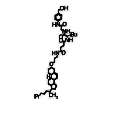 CC[C@H](C)[C@H](NC(=O)CCC(=O)NCCCO[C@H]1CCC2C(=CCC3C4CCC(C(C)CCCC(C)C)C4CC[C@H]23)C1)C(=O)NCC(=O)Nc1ccc(CO)cc1